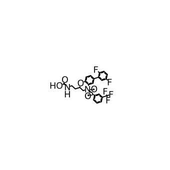 O=C(O)NCCC1CN(S(=O)(=O)c2cccc(C(F)(F)F)c2)c2cc(-c3cc(F)ccc3F)ccc2O1